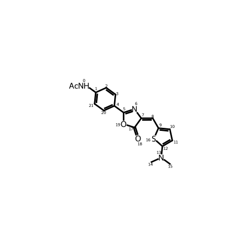 CC(=O)Nc1ccc(C2=NC(=Cc3ccc(N(C)C)s3)C(=O)O2)cc1